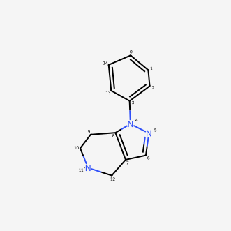 c1ccc(-n2ncc3c2CC[N]C3)cc1